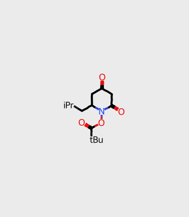 CC(C)CC1CC(=O)CC(=O)N1OC(=O)C(C)(C)C